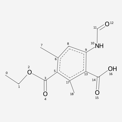 CCOC(=O)c1c(C)cc(NC=O)c(C(=O)O)c1C